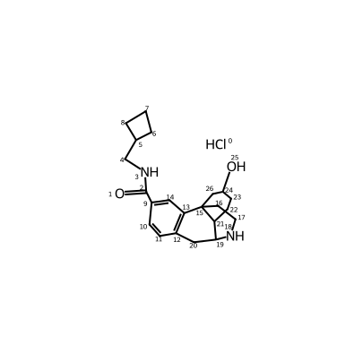 Cl.O=C(NCC1CCC1)c1ccc2c(c1)C13CCNC(C2)C1CCC(O)C3